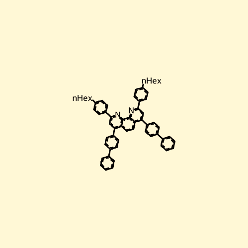 CCCCCCc1ccc(-c2cc(-c3ccc(-c4ccccc4)cc3)c3ccc4c(-c5ccc(-c6ccccc6)cc5)cc(-c5ccc(CCCCCC)cc5)nc4c3n2)cc1